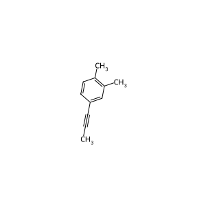 CC#Cc1ccc(C)c(C)c1